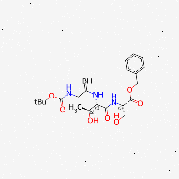 B=C(CNC(=O)OC(C)(C)C)N[C@H](C(=O)N[C@@H](CO)C(=O)OCc1ccccc1)[C@H](C)O